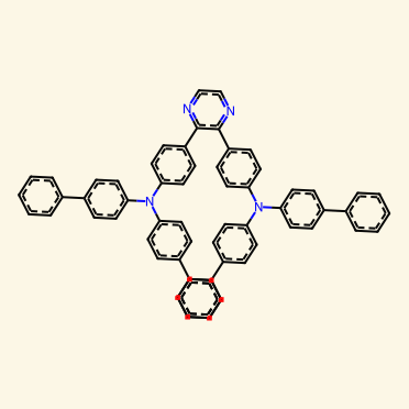 c1ccc(-c2ccc(N(c3ccc(-c4ccccc4)cc3)c3ccc(-c4nccnc4-c4ccc(N(c5ccc(-c6ccccc6)cc5)c5ccc(-c6ccccc6)cc5)cc4)cc3)cc2)cc1